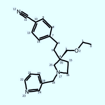 CCOC[C@@]1(CCc2ccc(C#N)cc2)CCN(Cc2cccnc2)C1